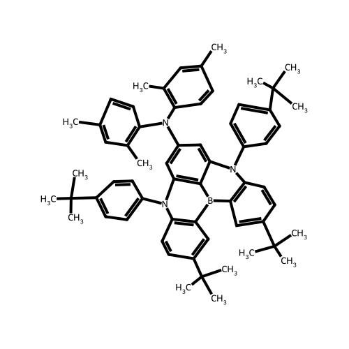 Cc1ccc(N(c2cc3c4c(c2)N(c2ccc(C(C)(C)C)cc2)c2ccc(C(C)(C)C)cc2B4c2cc(C(C)(C)C)ccc2N3c2ccc(C(C)(C)C)cc2)c2ccc(C)cc2C)c(C)c1